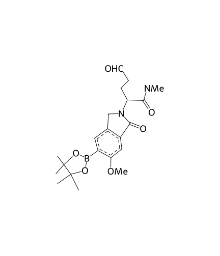 CNC(=O)C(CCC=O)N1Cc2cc(B3OC(C)(C)C(C)(C)O3)c(OC)cc2C1=O